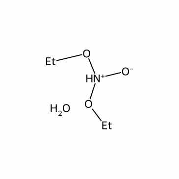 CCO[NH+]([O-])OCC.O